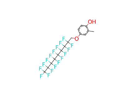 Cc1cc(OCC(F)(F)C(F)(F)C(F)(F)C(F)(F)C(F)(F)C(F)(F)C(F)(F)C(F)(F)F)ccc1O